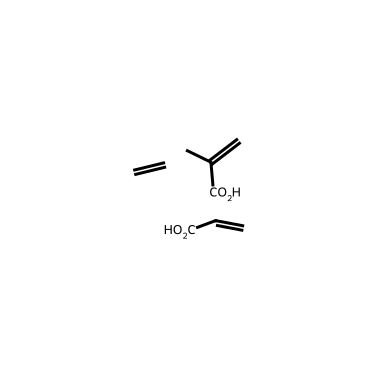 C=C.C=C(C)C(=O)O.C=CC(=O)O